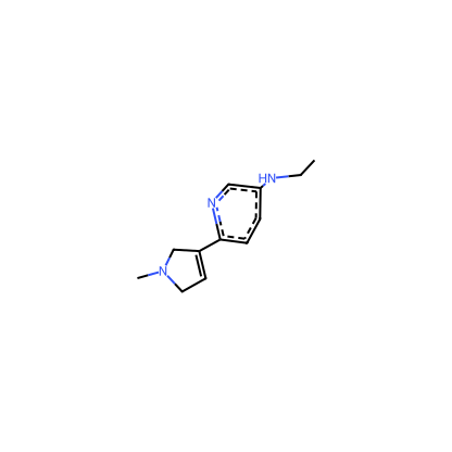 CCNc1ccc(C2=CCN(C)C2)nc1